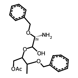 CC(=O)OCC(OC(O)[C@@H](N)OCc1ccccc1)C(C)OCc1ccccc1